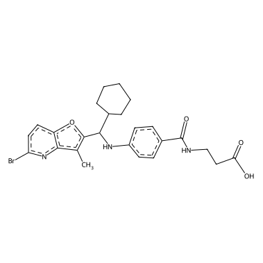 Cc1c(C(Nc2ccc(C(=O)NCCC(=O)O)cc2)C2CCCCC2)oc2ccc(Br)nc12